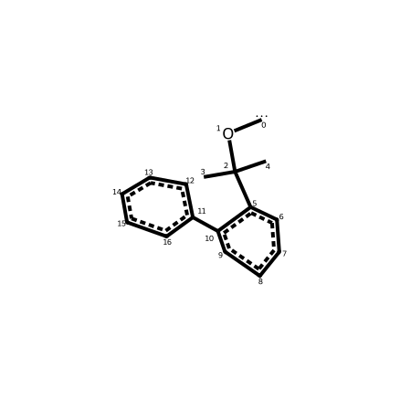 [C]OC(C)(C)c1ccccc1-c1ccccc1